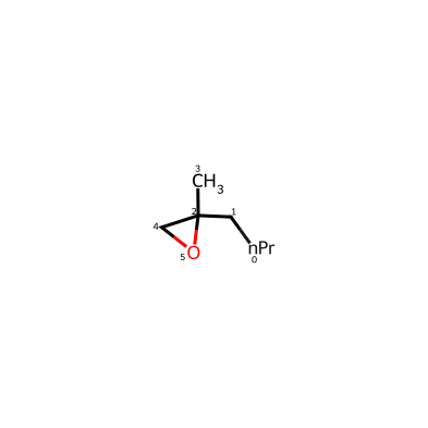 [CH2]CCCC1(C)CO1